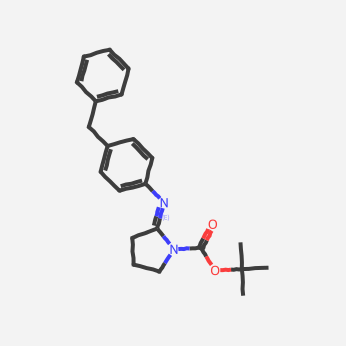 CC(C)(C)OC(=O)N1CCC/C1=N\c1ccc(Cc2ccccc2)cc1